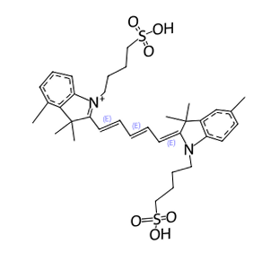 Cc1ccc2c(c1)C(C)(C)\C(=C/C=C/C=C/C1=[N+](CCCCS(=O)(=O)O)c3cccc(C)c3C1(C)C)N2CCCCS(=O)(=O)O